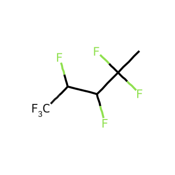 CC(F)(F)C(F)C(F)C(F)(F)F